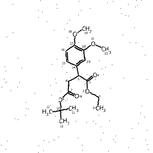 CCOC(=O)C(CC(=O)OC(C)(C)C)c1ccc(OC)c(OC)c1